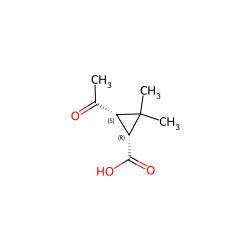 CC(=O)[C@H]1[C@@H](C(=O)O)C1(C)C